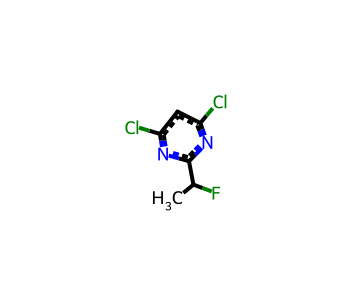 CC(F)c1nc(Cl)cc(Cl)n1